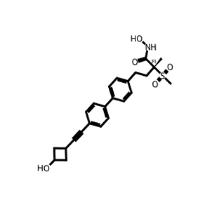 C[C@@](CCc1ccc(-c2ccc(C#CC3CC(O)C3)cc2)cc1)(C(=O)NO)S(C)(=O)=O